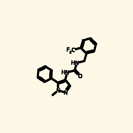 Cn1ncc(NC(=O)NCc2ccccc2C(F)(F)F)c1-c1ccccc1